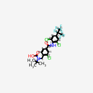 CC(C)(C)N(Cc1ccc(C(=O)Nc2c(Cl)cc(C(F)(C(F)(F)F)C(F)(F)F)cc2Cl)cc1Cl)C(=O)O